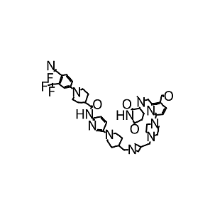 CN(Cc1nc(N2CCN(CC3CN(CC4CCN(c5ccc(NC(=O)C6CCN(c7ccc(C#N)c(C(F)(F)F)c7)CC6)nc5)CC4)C3)CC2)ccc1C=O)C1CCC(=O)NC1=O